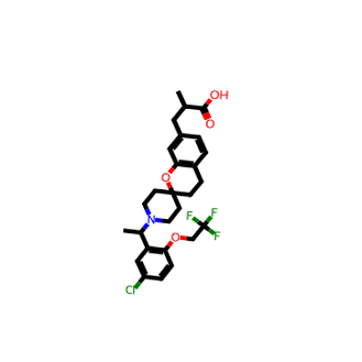 CC(Cc1ccc2c(c1)OC1(CC2)CCN(C(C)c2cc(Cl)ccc2OCC(F)(F)F)CC1)C(=O)O